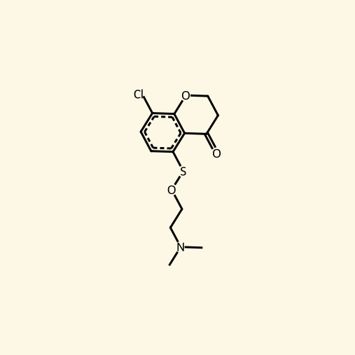 CN(C)CCOSc1ccc(Cl)c2c1C(=O)CCO2